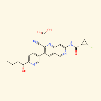 CCC[C@H](O)c1cc(C)c(-c2cc3cnc(NC(=O)[C@@H]4C[C@@H]4F)cc3nc2C#N)cn1.O=CO